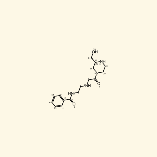 O=C(NCCNCC(=O)N1CCN[C@H](CO)C1)c1ccccc1